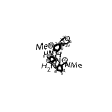 CNC(=O)c1ccccc1Nc1cc(Nc2ccc(N3CCOCC3)cc2OC)ncc1N